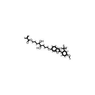 C=C(C)C(=O)OCCCC(O)C(O)CCCOc1ccc2cc(-c3ccc(OC)cc3C(F)(F)F)oc2c1